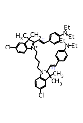 CCN(CC)c1ccc(/C=C/C2=[N+](CCCC[N+]3=C(/C=C/c4ccc(N(CC)CC)cc4)C(C)(C)c4cc(Cl)ccc43)c3ccc(Cl)cc3C2(C)C)cc1